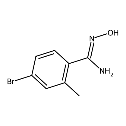 Cc1cc(Br)ccc1/C(N)=N/O